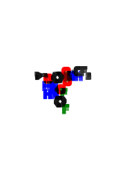 O=C(Nc1ccc(F)cc1F)Nc1cc(S(=O)(=O)NCC(F)(F)F)ccc1OCC1CC1